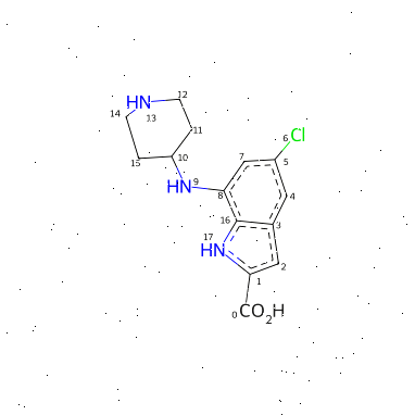 O=C(O)c1cc2cc(Cl)cc(NC3CCNCC3)c2[nH]1